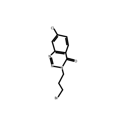 O=c1c2ccc(Cl)cc2nnn1CCCBr